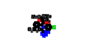 COC(OC)[C@@]1(C)Oc2ccc([N+](=O)[O-])cc2[C@@H](N(c2ccc(Cl)cc2)C(C)c2nnn[nH]2)[C@@H]1O